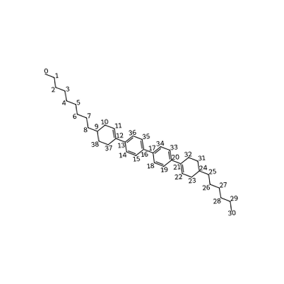 CCCCCCCCCC1CC=C(c2ccc(-c3ccc(C4=CCC(CCCCCC)CC4)cc3)cc2)CC1